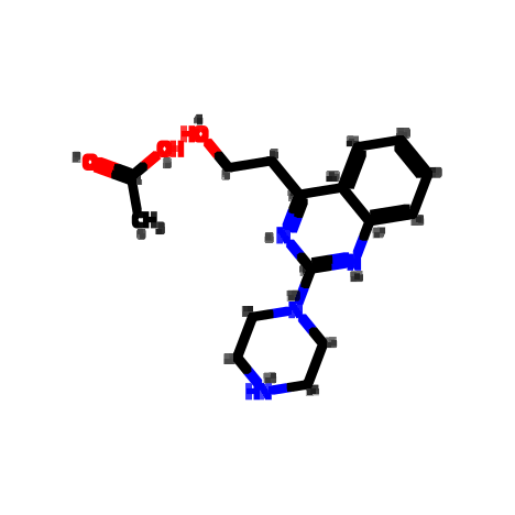 CC(=O)O.OCCc1nc(N2CCNCC2)nc2ccccc12